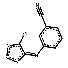 N#Cc1cccc(N=c2ssnc2Cl)c1